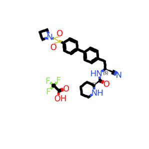 N#C[C@H](Cc1ccc(-c2ccc(S(=O)(=O)N3CCC3)cc2)cc1)NC(=O)[C@@H]1CCCCN1.O=C(O)C(F)(F)F